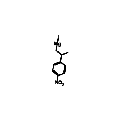 CC([CH2][Mg][I])c1ccc([N+](=O)[O-])cc1